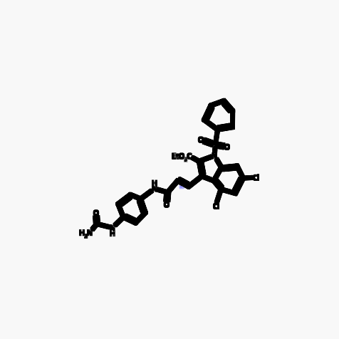 CCOC(=O)c1c(/C=C/C(=O)Nc2ccc(NC(N)=O)cc2)c2c(Cl)cc(Cl)cc2n1S(=O)(=O)c1ccccc1